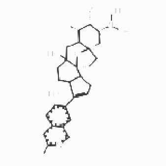 CN(C)[C@H]1C[C@@]23CC[C@]4(O2)C2CC=C(c5ccc6cc(O)ncc6c5)[C@@]2(C)CCC4(O)CC3[C@@H](O)[C@@H]1O